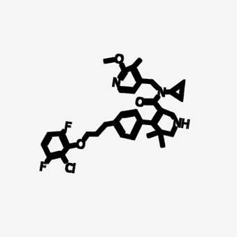 COc1nccc(CN(C(=O)C2=C(c3ccc(CCCOc4c(F)ccc(F)c4Cl)cc3)C(C)(C)CNC2)C2CC2)c1C